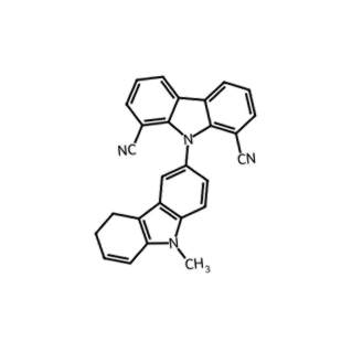 Cn1c2c(c3cc(-n4c5c(C#N)cccc5c5cccc(C#N)c54)ccc31)CCC=C2